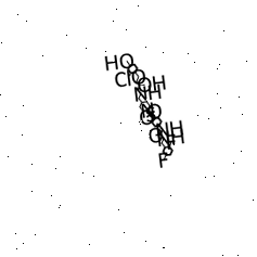 O=C(NCc1cc(F)ccc1F)Nc1ccc(S(=O)(=O)N2CCC(CNC[C@H](O)COc3ccc(O)cc3Cl)CC2)cc1